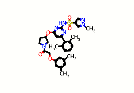 Cc1cc(C)cc(OCC(=O)N2CCC(Oc3cc(-c4c(C)cccc4C)nc(NS(=O)(=O)c4cnn(C)c4)n3)C2)c1